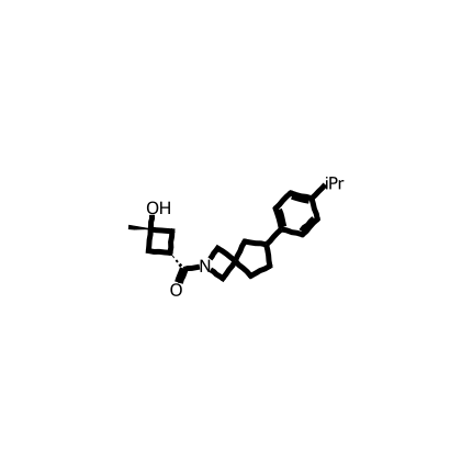 CC(C)c1ccc(C2CCC3(C2)CN(C(=O)[C@H]2C[C@@](C)(O)C2)C3)cc1